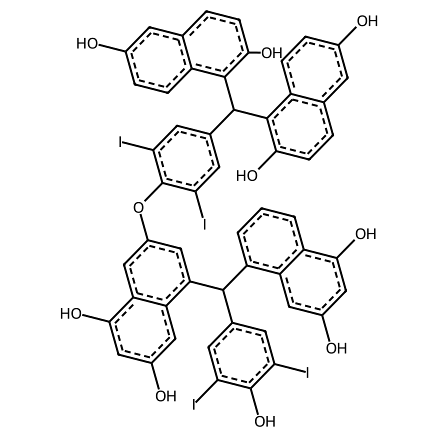 Oc1ccc2c(C(c3cc(I)c(Oc4cc(C(c5cc(I)c(O)c(I)c5)c5cccc6c(O)cc(O)cc56)c5cc(O)cc(O)c5c4)c(I)c3)c3c(O)ccc4cc(O)ccc34)c(O)ccc2c1